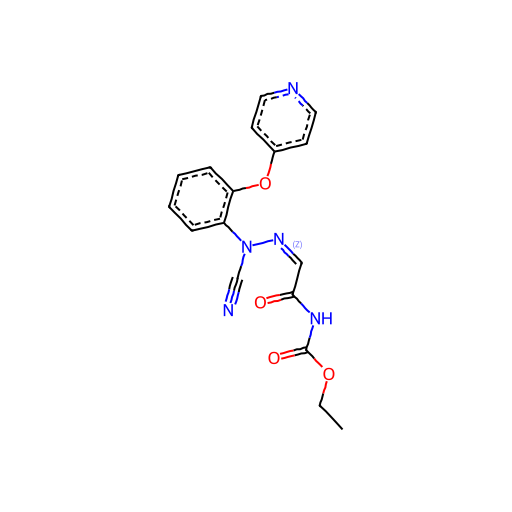 CCOC(=O)NC(=O)/C=N\N(C#N)c1ccccc1Oc1ccncc1